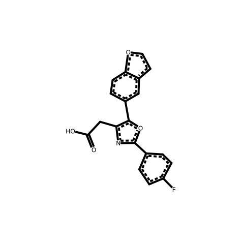 O=C(O)Cc1nc(-c2ccc(F)cc2)oc1-c1ccc2occc2c1